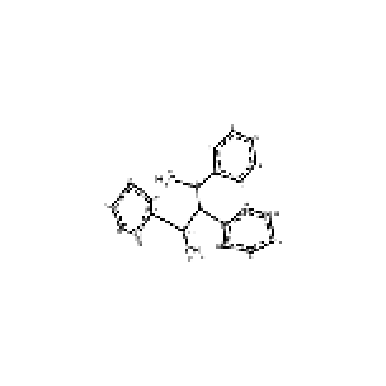 CC(c1ccccc1)C(c1cccnc1)C(C)c1ccccn1